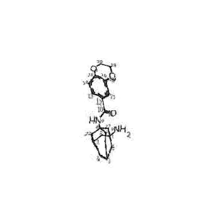 NC12CC3CC(C1)CC(NC(=O)c1ccc4c(c1)OCCO4)(C3)C2